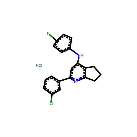 Cl.Fc1ccc(Nc2cc(-c3cccc(Cl)c3)nc3c2CCC3)cc1